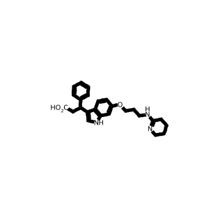 O=C(O)CC(c1ccccc1)c1c[nH]c2cc(OCCCNC3=NCCCC3)ccc12